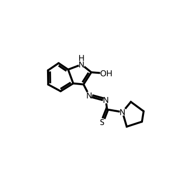 Oc1[nH]c2ccccc2c1/N=N/C(=S)N1CCCC1